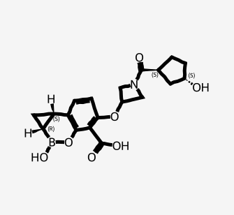 O=C(O)c1c(OC2CN(C(=O)[C@H]3CC[C@H](O)C3)C2)ccc2c1OB(O)[C@@H]1C[C@H]21